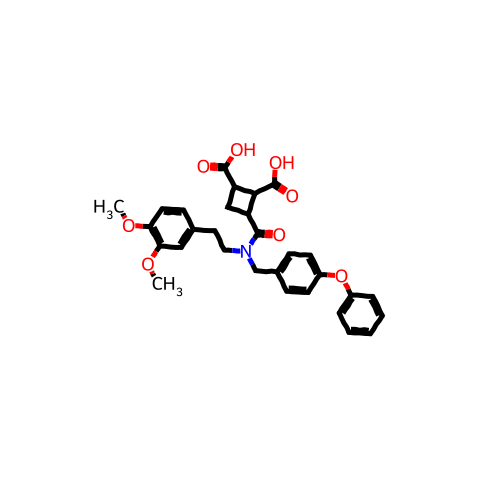 COc1ccc(CCN(Cc2ccc(Oc3ccccc3)cc2)C(=O)C2CC(C(=O)O)C2C(=O)O)cc1OC